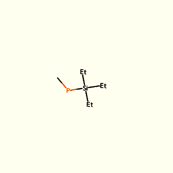 CC[Si](CC)(CC)[P]C